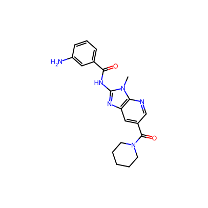 Cn1c(NC(=O)c2cccc(N)c2)nc2cc(C(=O)N3CCCCC3)cnc21